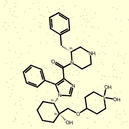 O=C(c1ncn([C@H]2CCCC[C@]2(O)COC2CCS(O)(O)CC2)c1-c1ccccc1)N1CCNC[C@H]1Cc1ccccc1